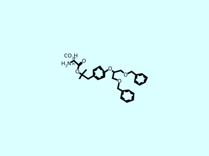 CC(C)(Cc1ccc(OC(COCc2ccccc2)COCc2ccccc2)cc1)OC(=O)[C@H](N)C(=O)O